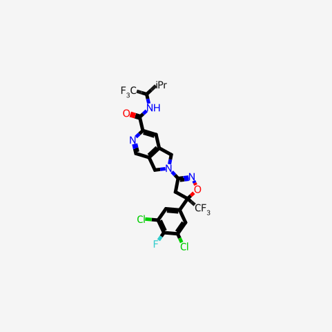 CC(C)C(NC(=O)c1cc2c(cn1)CN(C1=NOC(c3cc(Cl)c(F)c(Cl)c3)(C(F)(F)F)C1)C2)C(F)(F)F